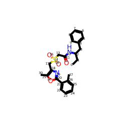 CCC(Cc1ccccc1)NC(=O)CS(=O)(=O)Cc1nc(-c2ccccc2C)oc1C